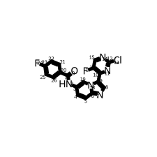 O=C(Nc1ccc2ncc(-c3nc(Cl)ncc3F)n2c1)c1ccc(F)cc1